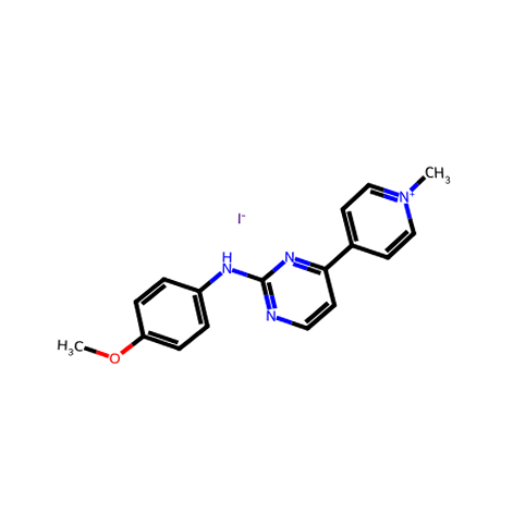 COc1ccc(Nc2nccc(-c3cc[n+](C)cc3)n2)cc1.[I-]